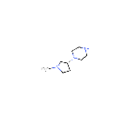 O=C(O)N1CC[C@@H](N2CCNCC2)C1